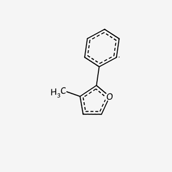 Cc1ccoc1-c1[c]cccc1